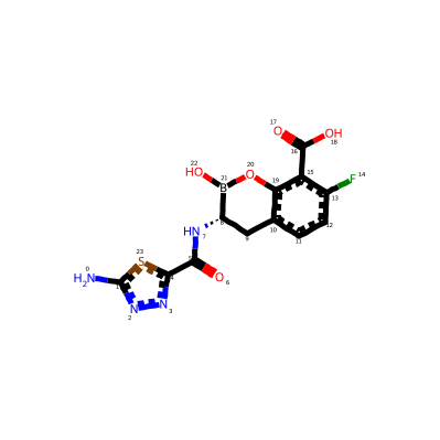 Nc1nnc(C(=O)N[C@H]2Cc3ccc(F)c(C(=O)O)c3OB2O)s1